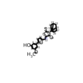 COc1cc(O)cc(-c2ccc(/C=C3\SC(=S)N(C4C5CC6CC(C5)CC4C6)C3=O)o2)c1